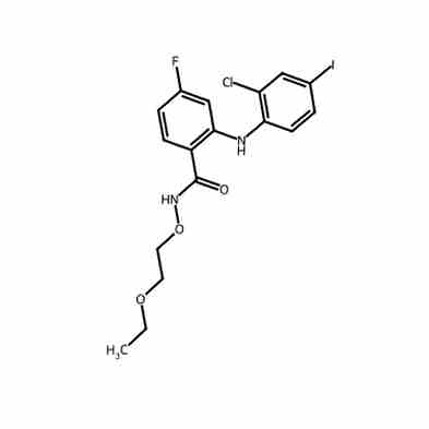 CCOCCONC(=O)c1ccc(F)cc1Nc1ccc(I)cc1Cl